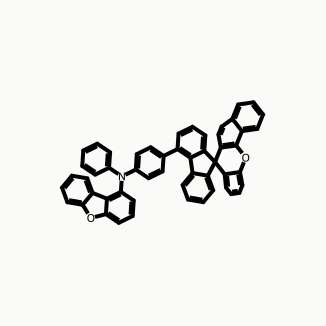 c1ccc(N(c2ccc(-c3cccc4c3-c3ccccc3C43c4ccccc4Oc4c3ccc3ccccc43)cc2)c2cccc3oc4ccccc4c23)cc1